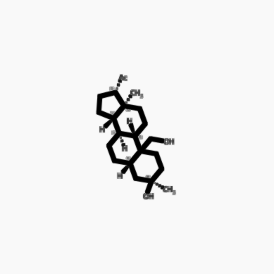 CC(=O)[C@H]1CC[C@H]2[C@@H]3CC[C@H]4C[C@](C)(O)CCC4(CO)[C@H]3CC[C@]12C